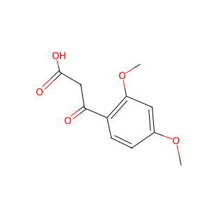 COc1ccc(C(=O)CC(=O)O)c(OC)c1